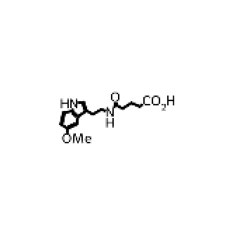 COc1ccc2[nH]cc(CCNC(=O)CCCC(=O)O)c2c1